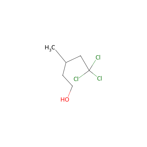 CC(CCO)CC(Cl)(Cl)Cl